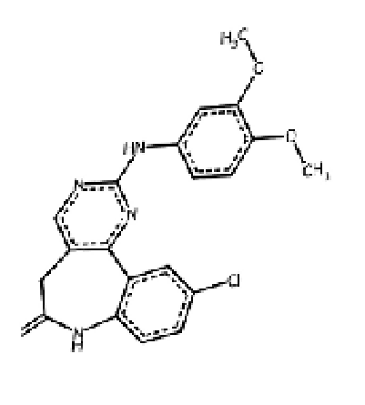 COc1ccc(Nc2ncc3c(n2)-c2cc(Cl)ccc2NC(=O)C3)cc1OC